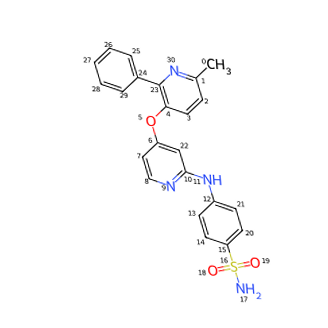 Cc1ccc(Oc2ccnc(Nc3ccc(S(N)(=O)=O)cc3)c2)c(-c2ccccc2)n1